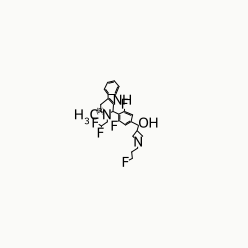 C[C@@H]1Cc2c([nH]c3ccccc23)C(c2c(F)cc(C(O)C3CN(CCCF)C3)cc2F)N1CC(F)F